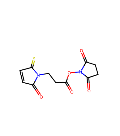 O=C(CCN1C(=O)C=CC1=S)ON1C(=O)CCC1=O